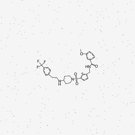 COc1cccc(C(=O)NCc2ccc(S(=O)(=O)N3CCC(NCCc4ccc(C(F)(F)F)cc4)CC3)s2)c1